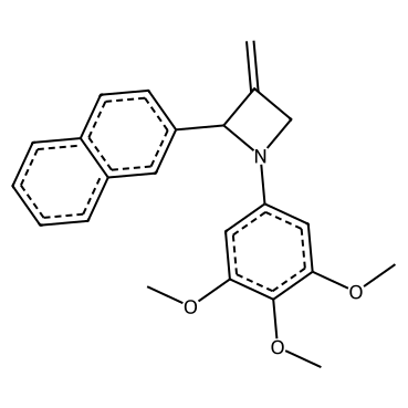 C=C1CN(c2cc(OC)c(OC)c(OC)c2)C1c1ccc2ccccc2c1